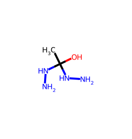 CC(O)(NN)NN